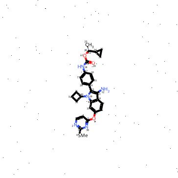 CSc1nccc(Oc2ccc3c(N)c(-c4ccc(NC(=O)O[C@H](C)C5CC5)cc4)n(C4CCC4)c3c2)n1